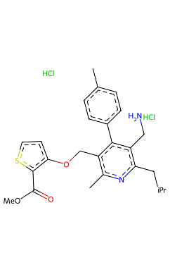 COC(=O)c1sccc1OCc1c(C)nc(CC(C)C)c(CN)c1-c1ccc(C)cc1.Cl.Cl